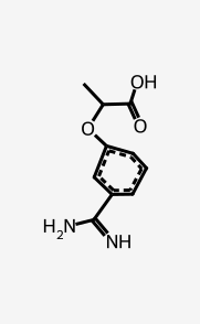 CC(Oc1cccc(C(=N)N)c1)C(=O)O